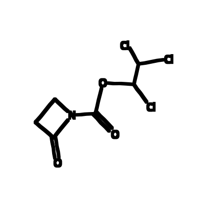 O=C1CCN1C(=O)OC(Cl)C(Cl)Cl